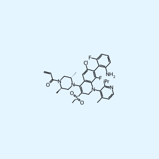 C=CC(=O)N1C[C@H](C)N(C2=C(S(C)(=O)=O)CN(c3c(C)ccnc3C(C)C)c3c2cc(Cl)c(-c2c(N)cccc2F)c3F)C[C@H]1C